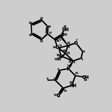 CC1=CN([C@@]23CCO[C@@](CO)(CO2)[C@H]3OC(=O)c2ccccc2)C(O)NC1=O